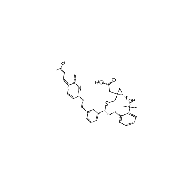 C=c1nc(/C=C/c2cccc([C@@H](CCc3ccccc3C(C)(C)O)SCC3(CC(=O)O)C[C@@H]3F)c2)cc/c1=C/C=C(\C)Cl